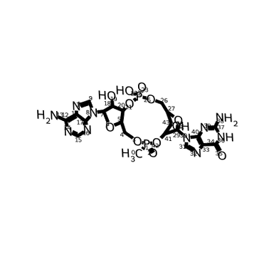 CP1(=O)OCC2OC(n3cnc4c(N)ncnc43)C(O)C2OP(=O)(O)OCC2OC(n3cnc4c(=O)[nH]c(N)nc43)C(O1)C2O